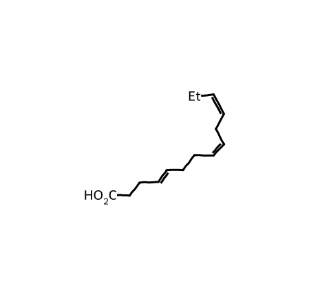 CC/C=C\C/C=C\CC/C=C/CCC(=O)O